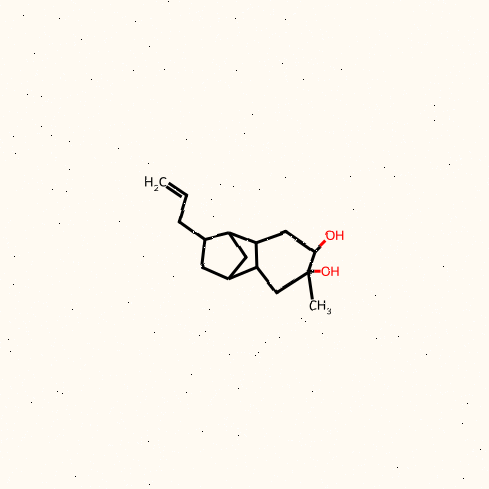 C=CCC1CC2CC1C1CC(O)C(C)(O)CC21